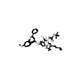 C=CCCCCCN(NC(=O)OC(C)(C)C)C(=O)[C@@H]1C[C@H](Oc2cc(-c3ccccc3)nc3cc(OC)ccc23)C[C@H]1C(=O)NC1(C(=O)O)CC1